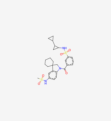 CS(=O)(=O)Nc1ccc2c(c1)C1(CCCCC1)CN2C(=O)c1cccc(S(=O)(=O)NC2CC2C2CC2)c1